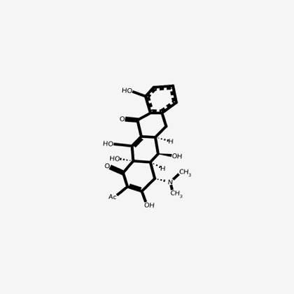 CC(=O)C1=C(O)[C@@H](N(C)C)[C@@H]2[C@H](O)[C@@H]3Cc4cccc(O)c4C(=O)C3=C(O)[C@]2(O)C1=O